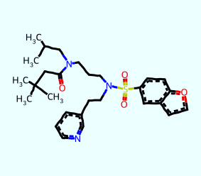 CC(C)CN(CCCN(CCc1cccnc1)S(=O)(=O)c1ccc2occc2c1)C(=O)CC(C)(C)C